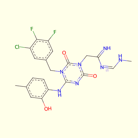 CN/C=N\C(=N)Cn1c(=O)nc(Nc2ccc(C)cc2O)n(Cc2cc(F)c(F)c(Cl)c2)c1=O